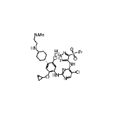 CNCCN[C@H]1CC[C@H](c2cc(OC3CC3)c(Nc3ncc(Cl)c(Nc4cn(C)nc4S(=O)(=O)C(C)C)n3)cc2C)CC1